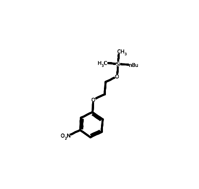 CCCC[Si](C)(C)OCCOc1cccc([N+](=O)[O-])c1